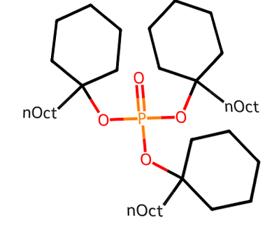 CCCCCCCCC1(OP(=O)(OC2(CCCCCCCC)CCCCC2)OC2(CCCCCCCC)CCCCC2)CCCCC1